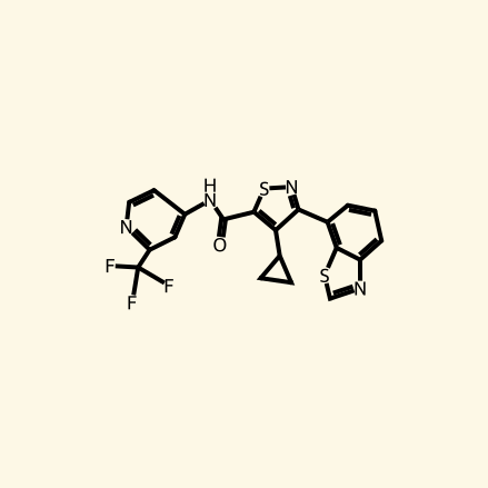 O=C(Nc1ccnc(C(F)(F)F)c1)c1snc(-c2cccc3ncsc23)c1C1CC1